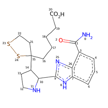 NC(=O)c1cccc2[nH]c(C3NCCC3C3(CCCCC(=O)O)CCSS3)nc12